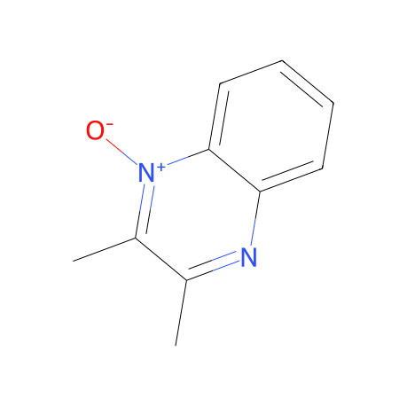 Cc1nc2ccccc2[n+]([O-])c1C